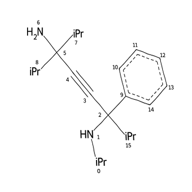 CC(C)NC(C#CC(N)(C(C)C)C(C)C)(c1ccccc1)C(C)C